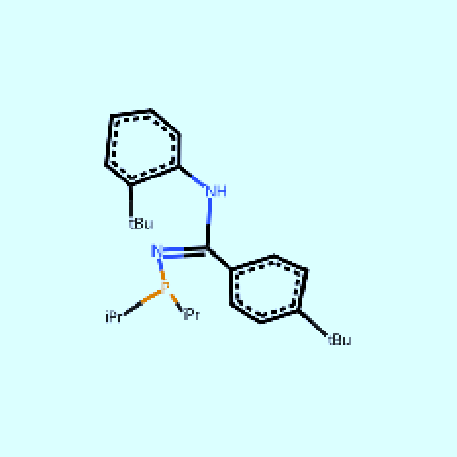 CC(C)P(N=C(Nc1ccccc1C(C)(C)C)c1ccc(C(C)(C)C)cc1)C(C)C